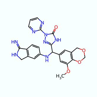 COc1cc(C(Nc2ccc3c(c2)CNC3=N)c2nn(-c3ncccn3)c(=O)[nH]2)cc2c1OCOC2